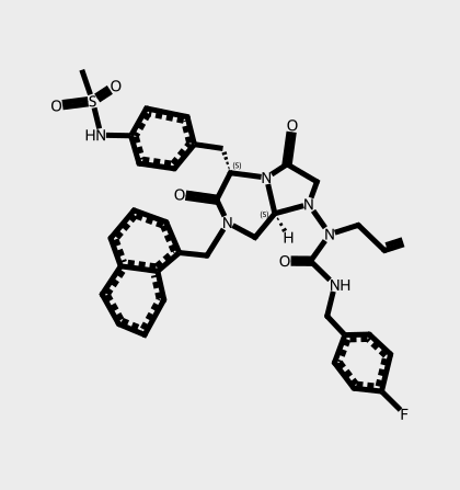 C=CCN(C(=O)NCc1ccc(F)cc1)N1CC(=O)N2[C@@H](Cc3ccc(NS(C)(=O)=O)cc3)C(=O)N(Cc3cccc4ccccc34)C[C@@H]21